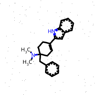 CN(C)C1(Cc2ccccc2)CC=C(c2cc3ccccc3[nH]2)CC1